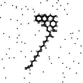 CN(CCCNc1nc(CN(C)C2CCC(C(C)(C)C)CC2)nc2ccccc12)CCOCCOCCOCCN=[N+]=[N-]